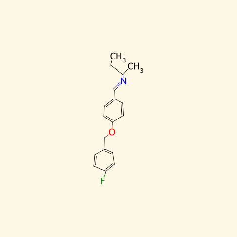 CCC(C)/N=C/c1ccc(OCc2ccc(F)cc2)cc1